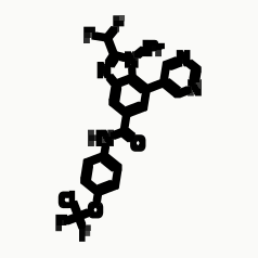 CC(C)n1c(C(F)F)nc2cc(C(=O)Nc3ccc(OC(F)(F)Cl)cc3)cc(-c3cncnc3)c21